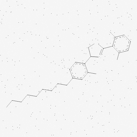 CCCCCCCCCc1ccc(C2COC(c3c(F)cccc3F)=N2)c(F)c1